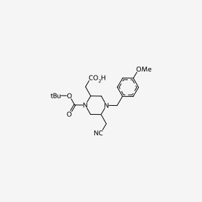 COc1ccc(CN2CC(CC(=O)O)N(C(=O)OC(C)(C)C)CC2CC#N)cc1